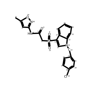 Cc1cc(NC(=O)CS(=O)(=O)c2cn(Cc3ccc(Cl)cc3)c3ccccc23)no1